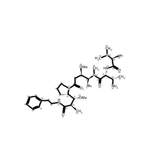 CC[C@H](C)[C@@H]([C@@H](CC(=O)N1CCC[C@H]1[C@H](OC)[C@@H](C)C(=O)NCCc1ccccc1)OC)N(C)C(=O)[C@H](NC(=O)[C@H](C(C)C)N(C)C)[C@H](C)N